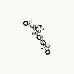 O=C(Nc1ccc(N2CCN(C(=O)Nc3ccccc3F)CC2)nc1)c1sc(CNc2ccccc2)nc1C(F)(F)F